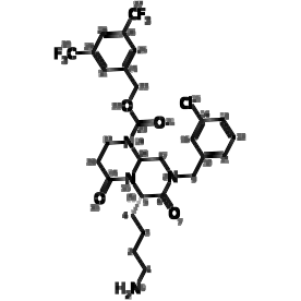 NCCCC[C@H]1C(=O)N(Cc2cccc(Cl)c2)CC2N(C(=O)OCc3cc(C(F)(F)F)cc(C(F)(F)F)c3)CCC(=O)N21